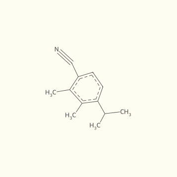 Cc1c(C#N)ccc(C(C)C)c1C